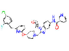 O=C(Nc1ccc2c(c1)nc(CN1CCC(Oc3cccc(Cc4ccc(Cl)cc4F)n3)CC1)n2C[Si@@H]1CCO1)c1cccnc1